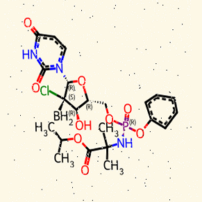 B[C@]1(Cl)[C@H](O)[C@@H](CO[P@](=O)(NC(C)(C)C(=O)OC(C)C)Oc2ccccc2)O[C@H]1n1ccc(=O)[nH]c1=O